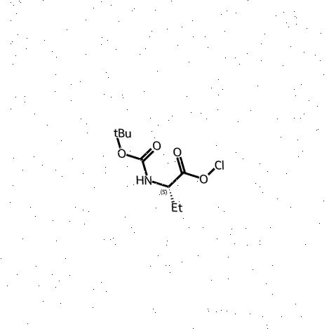 CC[C@H](NC(=O)OC(C)(C)C)C(=O)OCl